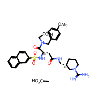 CC(=O)O.COc1ccc(CN(CC(=O)O)C(=O)[C@H](CC(=O)NC[C@@H]2CCCN(C(=N)N)C2)NS(=O)(=O)c2ccc3ccccc3c2)cc1